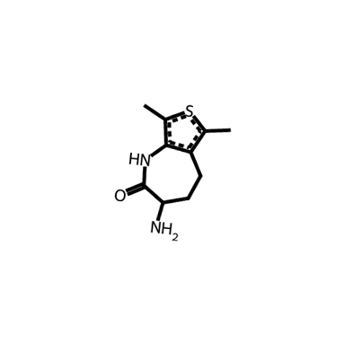 Cc1sc(C)c2c1CCC(N)C(=O)N2